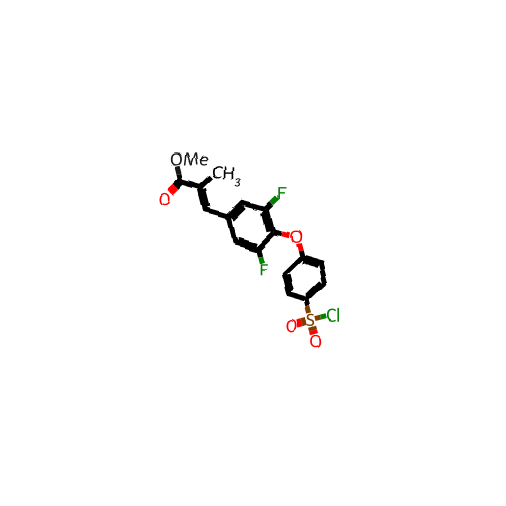 COC(=O)/C(C)=C/c1cc(F)c(Oc2ccc(S(=O)(=O)Cl)cc2)c(F)c1